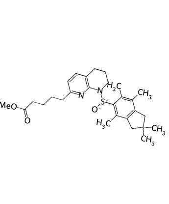 COC(=O)CCCCc1ccc2c(n1)N([S+]([O-])c1c(C)c(C)c3c(c1C)CC(C)(C)C3)CCC2